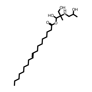 CCCCCCCCC=CCCCCCCCC(=O)OC(O)C(C)(CO)NCC(C)O